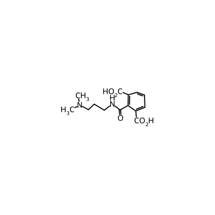 CN(C)CCCNC(=O)c1c(C(=O)O)cccc1C(=O)O